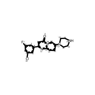 O=c1cc(-c2cc(F)cc(Cl)c2)nc2ccc(N3CCNCC3)cn12